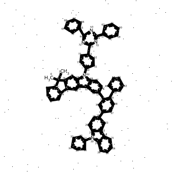 CC1(C)c2ccccc2-c2cc3c4cc(-c5cc(-c6ccc7c(c6)c6ccccc6n7-c6ccccc6)ccc5-c5ccccc5)ccc4n(-c4ccc(-c5nc(-c6ccccc6)nc(-c6ccccc6)n5)cc4)c3cc21